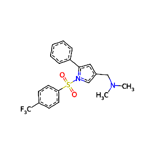 CN(C)Cc1cc(-c2ccccc2)n(S(=O)(=O)c2ccc(C(F)(F)F)cc2)c1